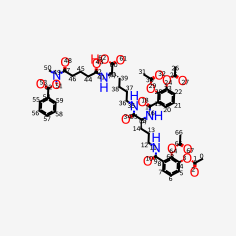 CC(=O)Oc1cccc(C(=O)NCCC[C@H](NC(=O)c2cccc(OC(C)=O)c2OC(C)=O)C(=O)NCCCC[C@H](NC(=O)CCCC(=O)N(C)OC(=O)c2ccccc2)C(=O)O)c1OC(C)=O